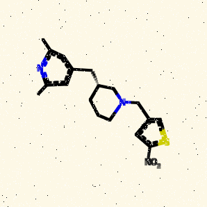 Cc1cc(C[C@H]2CCCN(Cc3csc([N+](=O)[O-])c3)C2)cc(C)n1